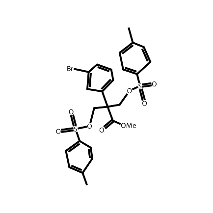 COC(=O)C(COS(=O)(=O)c1ccc(C)cc1)(COS(=O)(=O)c1ccc(C)cc1)c1cccc(Br)c1